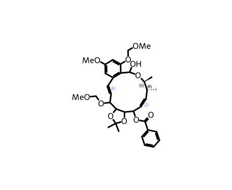 COCOc1cc(OC)cc2c1C(O)O[C@@H](C)[C@H](C)/C=C\C(OC(=O)c1ccccc1)C1OC(C)(C)OC1C(OCOC)/C=C/2